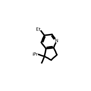 CCc1cnc2c(c1)C(C)(C(C)C)CC2